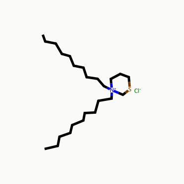 CCCCCCCCCC[N+]1(CCCCCCCCCC)CCCSC1.[Cl-]